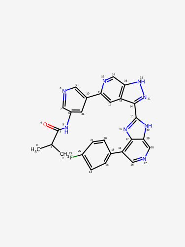 CC(C)C(=O)Nc1cncc(-c2cc3c(-c4nc5c(-c6ccc(F)cc6)cncc5[nH]4)n[nH]c3cn2)c1